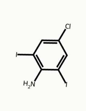 Nc1c(I)cc(Cl)cc1I